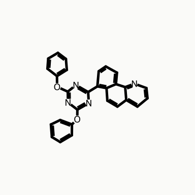 c1ccc(Oc2nc(Oc3ccccc3)nc(-c3cccc4c3ccc3cccnc34)n2)cc1